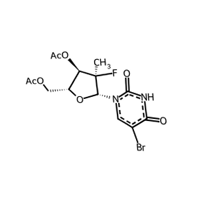 CC(=O)OC[C@H]1O[C@@H](n2cc(Br)c(=O)[nH]c2=O)[C@](C)(F)[C@@H]1OC(C)=O